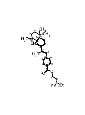 CCN(CC)CCOC(=O)c1ccc(C=C(C)c2ccc3c(c2)C(C)(C)CCC3(C)C)cc1